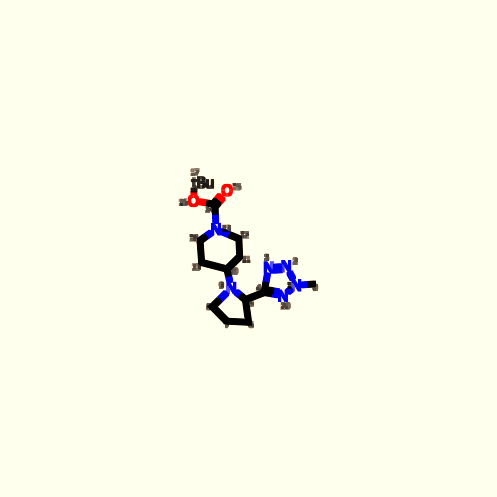 Cn1nnc(C2CCCN2C2CCN(C(=O)OC(C)(C)C)CC2)n1